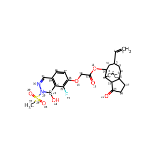 C=CC1CCC23CCCC(C(OC(=O)COc4ccc5c(c4F)B(O)N(S(C)(=O)=O)N=C5)C1)C2C(=O)CC3